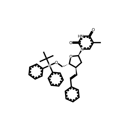 Cc1cn([C@H]2C[C@@H](C=Cc3ccccc3)[C@H](CO[Si](c3ccccc3)(c3ccccc3)C(C)(C)C)O2)c(=O)[nH]c1=O